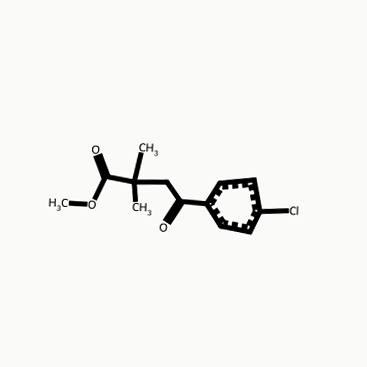 COC(=O)C(C)(C)CC(=O)c1ccc(Cl)cc1